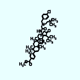 COC(=O)c1ccc(C2=CC[C@@]3(C)C(CC[C@]4(C)C3CCC3C5=C(C(C)C)C(=O)C[C@]5(NC(=O)CN(CCN(C)C)Cc5ccc(Cl)cc5)CC[C@]34C)C2(C)C)cc1